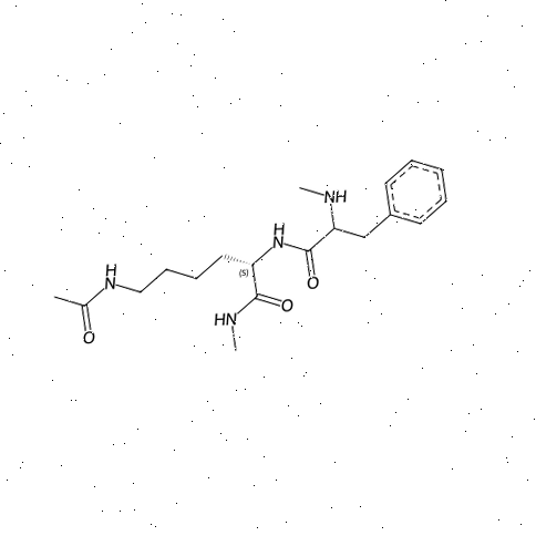 CNC(=O)[C@H](CCCCNC(C)=O)NC(=O)C(Cc1ccccc1)NC